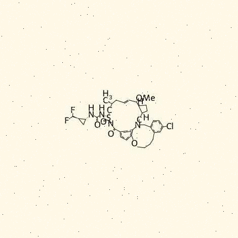 CO[C@H]1/C=C/C[C@H](C)C[S@@](=O)(NC(=O)N[C@@H]2C[C@H]2C(F)F)=NC(=O)c2ccc3c(c2)N(Cc2ccc(Cl)cc2CCCCO3)C[C@@H]2CC[C@H]21